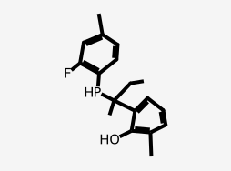 CCC(C)(Pc1ccc(C)cc1F)c1cccc(C)c1O